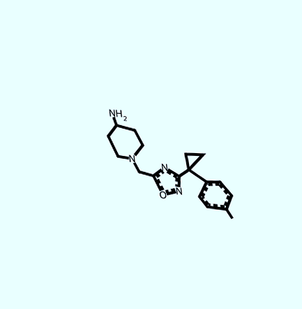 Cc1ccc(C2(c3noc(CN4CCC(N)CC4)n3)CC2)cc1